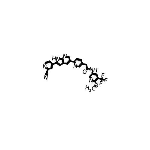 COc1ncc(NC(=O)Cc2ccc(-c3cnc4[nH]c(-c5ccnc(C#N)c5)cc4c3)nc2)cc1C(F)(F)F